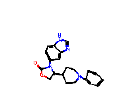 O=C1OCC(C2CCN(c3ccccc3)CC2)N1c1ccc2[nH]cnc2c1